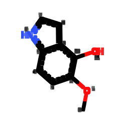 COc1ccc2[nH]ccc2c1O